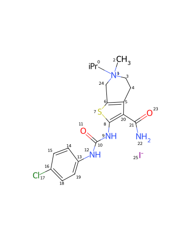 CC(C)[N+]1(C)CCc2c(sc(NC(=O)Nc3ccc(Cl)cc3)c2C(N)=O)C1.[I-]